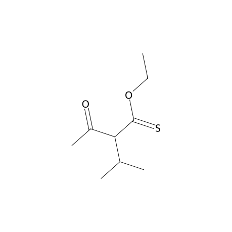 CCOC(=S)C(C(C)=O)C(C)C